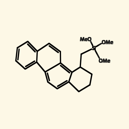 CO[Si](CC1CCCc2ccc3c(ccc4ccccc43)c21)(OC)OC